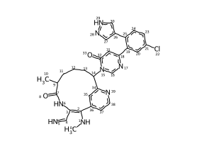 CN/C1=C(\C=N)NC(=O)C(C)CCCC(n2cnc(-c3cc(Cl)ccc3-c3cn[nH]c3)cc2=O)c2cc1ccn2